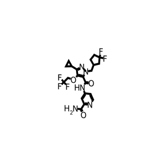 NC(=O)c1cc(NC(=O)c2c(OCC(F)(F)F)c(C3CC3)nn2CC2CCC(F)(F)C2)ccn1